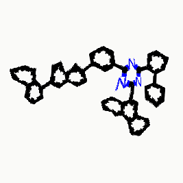 c1ccc(-c2ccccc2-c2nc(-c3cccc(-c4ccc5cc(-c6cccc7ccccc67)ccc5c4)c3)nc(-c3cc4ccccc4c4ccccc34)n2)cc1